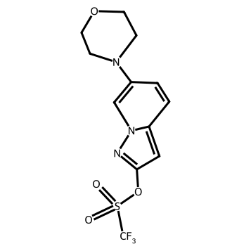 O=S(=O)(Oc1cc2ccc(N3CCOCC3)cn2n1)C(F)(F)F